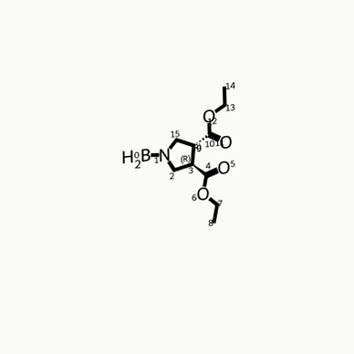 BN1C[C@H](C(=O)OCC)[C@@H](C(=O)OCC)C1